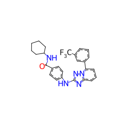 O=C(NC1CCCCC1)c1ccc(Nc2nc3cccc(-c4cccc(C(F)(F)F)c4)n3n2)cc1